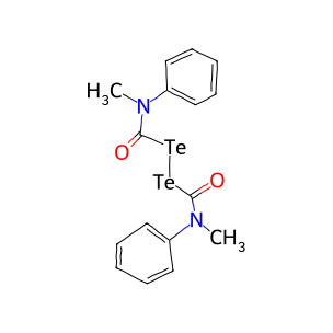 CN(C(=O)[Te][Te]C(=O)N(C)c1ccccc1)c1ccccc1